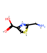 NCc1nc(C(=O)O)cs1